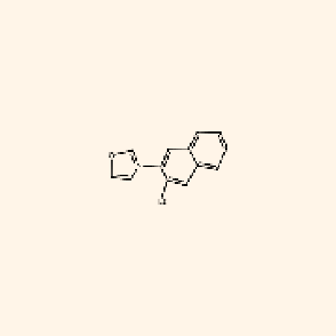 CCc1cc2ccccc2cc1-[n+]1ccoc1